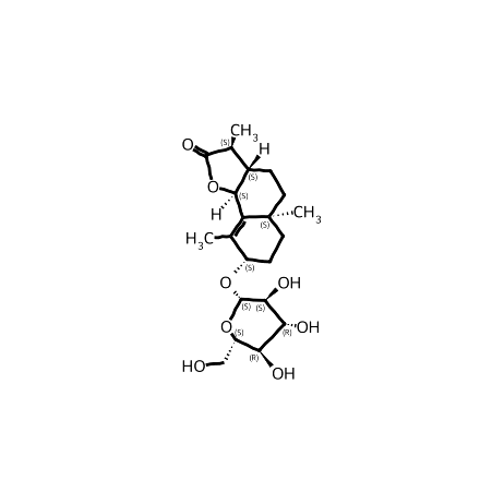 CC1=C2[C@H]3OC(=O)[C@@H](C)[C@@H]3CC[C@@]2(C)CC[C@@H]1O[C@H]1O[C@@H](CO)[C@H](O)[C@@H](O)[C@@H]1O